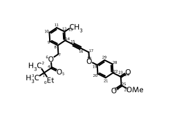 CCC(C)(C)C(=O)OCc1cccc(C)c1C#CCOc1ccc(C(=O)C(=O)OC)cc1